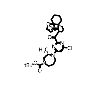 C[C@H]1CN(C(=O)OC(C)(C)C)CCCN1c1cc(Cl)nc(C(=O)C2CCC[C@@]3(CCCCC34OCCO4)C2=O)n1